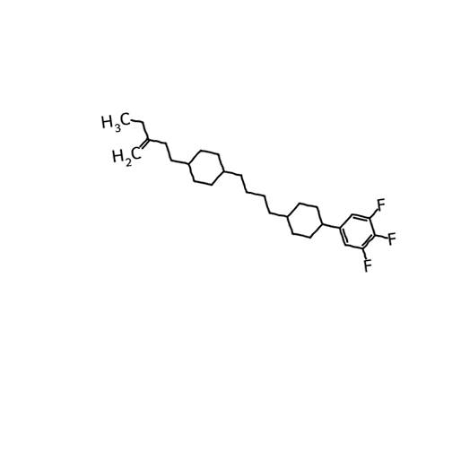 C=C(CC)CCC1CCC(CCCCC2CCC(c3cc(F)c(F)c(F)c3)CC2)CC1